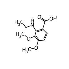 CCNc1c(C(=O)O)ccc(OC)c1OC